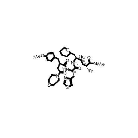 CNC(=O)[C@@H](C[C@H](O)[C@H](CC1CCCCC1)NC(=O)[C@H](Cc1cscn1)NC(=O)C(CC(=O)N1CCOCC1)Cc1ccc(OC)cc1)C(C)C